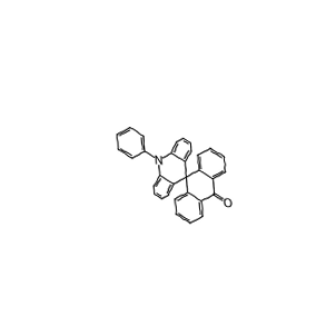 O=C1c2ccccc2C2(c3ccccc31)c1ccccc1N(c1ccccc1)c1ccccc12